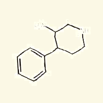 O=[N+]([O-])C1CNCCC1c1ccccc1